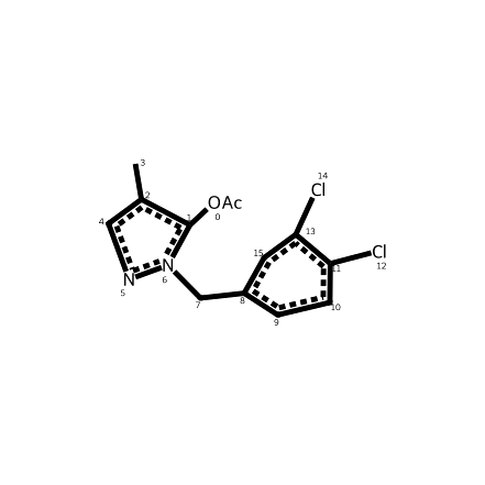 CC(=O)Oc1c(C)cnn1Cc1ccc(Cl)c(Cl)c1